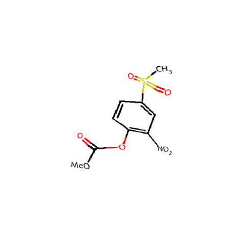 COC(=O)Oc1ccc(S(C)(=O)=O)cc1[N+](=O)[O-]